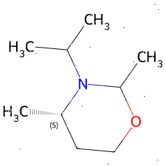 CC(C)N1C(C)OCC[C@@H]1C